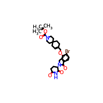 CC(C)(C)OC(=O)N1CCC2(CC=C(COc3c(Br)ccc4c3CN(C3CCC(=O)NC3=O)C4=O)CC2)CC1